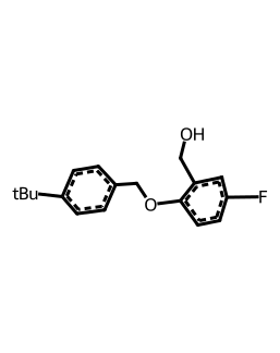 CC(C)(C)c1ccc(COc2ccc(F)cc2CO)cc1